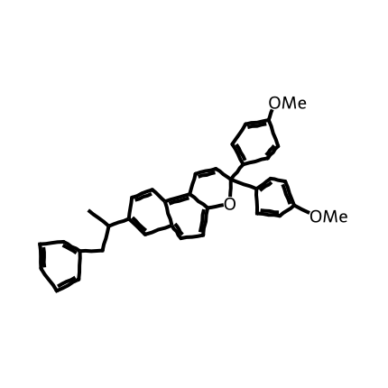 COc1ccc(C2(c3ccc(OC)cc3)C=Cc3c(ccc4cc(C(C)Cc5ccccc5)ccc34)O2)cc1